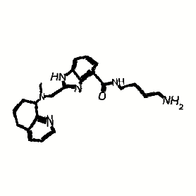 CN(Cc1nc2c(C(=O)NCCCCN)cccc2[nH]1)C1CCCc2cccnc21